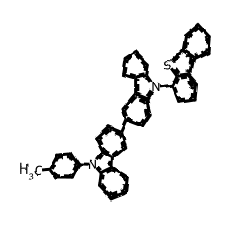 Cc1ccc(-n2c3ccccc3c3cc(-c4ccc5c(c4)c4ccccc4n5-c4cccc5c4sc4ccccc45)ccc32)cc1